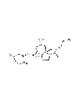 C=C1CC[C@H](O)C/C1=C/C=C1\CC(OC(C)=O)C[C@]2(C)[C@@H]([C@H](C)CCCC(C)C)CC[C@@H]12